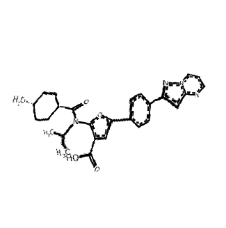 CC(C)N(c1oc(-c2ccc(-c3cc4ncccn4n3)cc2)cc1C(=O)O)C(=O)[C@H]1CC[C@H](C)CC1